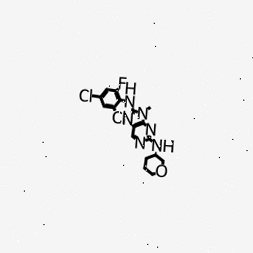 Cn1c(Nc2c(F)cc(Cl)cc2Cl)nc2cnc(N[C@H]3CCCOC3)nc21